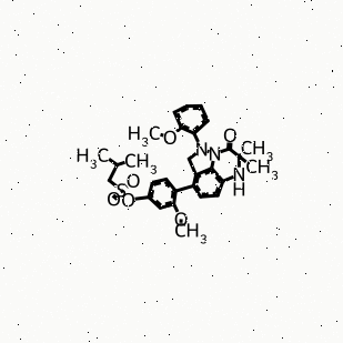 COc1cc(OS(=O)(=O)CC(C)C)ccc1-c1ccc2c3c1CN(c1ccccc1OC)N3C(=O)C(C)(C)N2